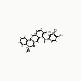 CC[C@H](Nc1cc2c(Nc3ccc(F)c(Cl)c3)c(C#N)cnc2cn1)c1ccccc1